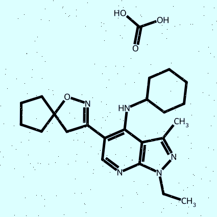 CCn1nc(C)c2c(NC3CCCCC3)c(C3=NOC4(CCCC4)C3)cnc21.O=C(O)O